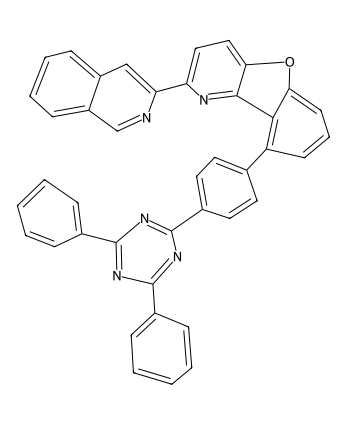 c1ccc(-c2nc(-c3ccccc3)nc(-c3ccc(-c4cccc5oc6ccc(-c7cc8ccccc8cn7)nc6c45)cc3)n2)cc1